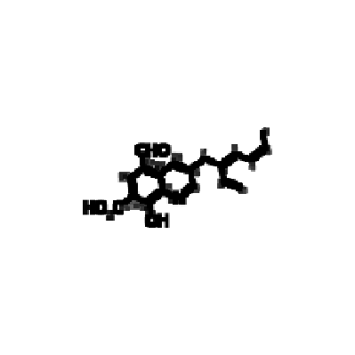 C=C/C(=C\C=C/C)Cc1cnc2c(O)c(C(=O)O)cc(C=O)c2c1